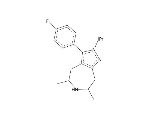 CC1Cc2nn(C(C)C)c(-c3ccc(F)cc3)c2CC(C)N1